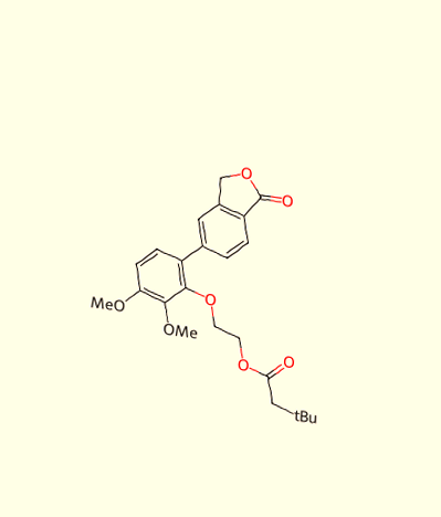 COc1ccc(-c2ccc3c(c2)COC3=O)c(OCCOC(=O)CC(C)(C)C)c1OC